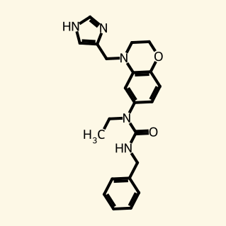 CCN(C(=O)NCc1ccccc1)c1ccc2c(c1)N(Cc1c[nH]cn1)CCO2